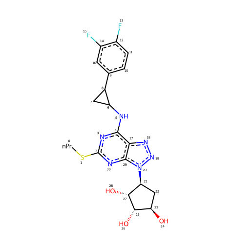 CCCSc1nc(NC2CC2c2ccc(F)c(F)c2)c2nnn([C@H]3C[C@@H](O)[C@H](O)[C@@H]3O)c2n1